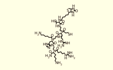 CC(O)C(NC(=O)CCCCC1SCC2NC(=O)NC21)C(=O)NCCN(C(=O)CCS)C(CCCNC(=N)N)C(=O)NCCN(C(=O)CCCCCN)C(Cc1cnc[nH]1)C(=O)NCCN(C(=O)CCCCNC(=N)N)C(CCCCN)C(N)=O